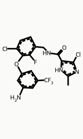 Cc1nc(Cl)c(C(=O)NCc2ccc(Cl)c(Oc3cc(N)cc(C(F)(F)F)c3)c2F)[nH]1